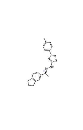 C/C(=N\Nc1nc(-c2ccc(C)cc2)cs1)c1ccc2c(c1)CCC2